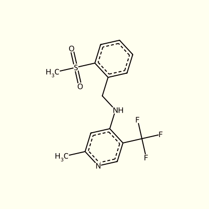 Cc1cc(NCc2ccccc2S(C)(=O)=O)c(C(F)(F)F)cn1